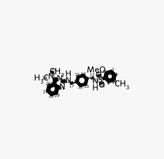 COc1ccc(C)cc1S(=O)(=O)NC[C@H]1CC[C@H](CNc2nc(N(C)C)c3ccccc3n2)CC1